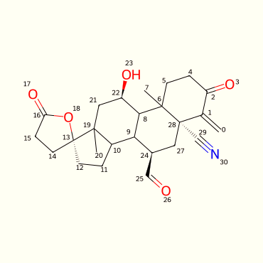 C=C1C(=O)CCC2(C)C3C(C4CC[C@@]5(CCC(=O)O5)C4(C)C[C@H]3O)[C@H](C=O)C[C@]12C#N